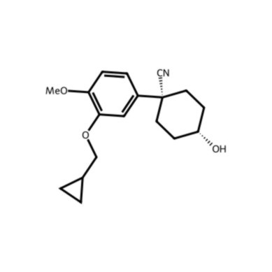 COc1ccc([C@]2(C#N)CC[C@@H](O)CC2)cc1OCC1CC1